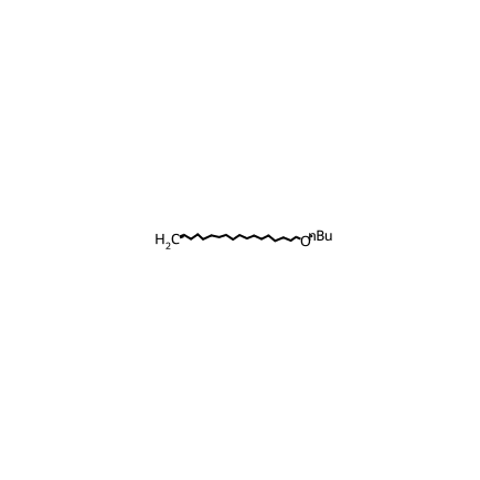 C=CCCCCCCCCCCCCCCCCOCCCC